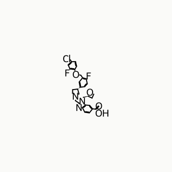 O=C(O)c1ccc2nc(CN3CC[C@H](c4ccc(F)c(COc5ccc(Cl)cc5F)c4)C3)n(C[C@@H]3CCO3)c2c1